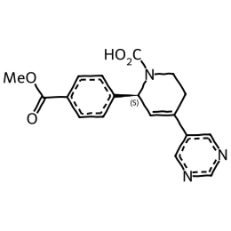 COC(=O)c1ccc([C@@H]2C=C(c3cncnc3)CCN2C(=O)O)cc1